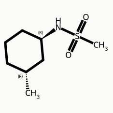 C[C@@H]1CCC[C@@H](NS(C)(=O)=O)C1